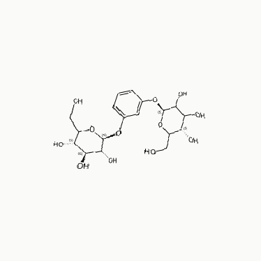 OCC1O[C@@H](Oc2cccc(O[C@@H]3OC(CO)[C@@H](O)[C@H](O)C3O)c2)C(O)C(O)[C@@H]1O